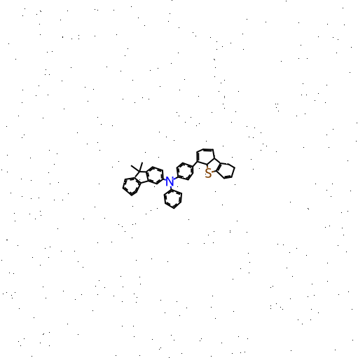 CC1(C)c2ccccc2-c2cc(N(c3ccccc3)c3ccc(C4=CC=CC5C6=C(C=CCC6)SC45)cc3)ccc21